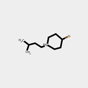 CC(C)CC[SiH]1CCC(Br)CC1